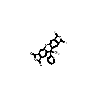 CC1(c2ccccn2)c2cc3c(cc2Oc2cc4c(cc21)C(=O)OC4=O)C(=O)OC3=O